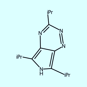 CC(C)c1nnc2c(C(C)C)[nH]c(C(C)C)c2n1